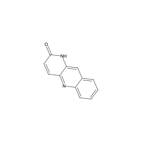 O=c1ccc2nc3ccccc3cc2[nH]1